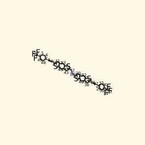 FC(F)(F)c1ccc(C#Cc2cc3cc4sc(/C=C/c5cc6cc7sc(C#Cc8ccc(C(F)(F)F)cc8)cc7cc6s5)cc4cc3s2)cc1